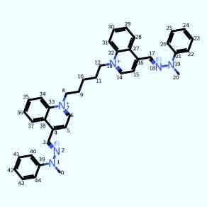 CN(/N=C/c1cc[n+](CCCCC[n+]2ccc(/C=N/N(C)c3ccccc3)c3ccccc32)c2ccccc12)c1ccccc1